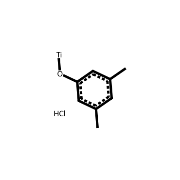 Cc1cc(C)cc([O][Ti])c1.Cl